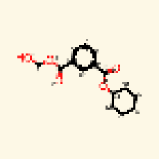 O=C(OCO)c1cccc(C(=O)OC2CCCCC2)c1